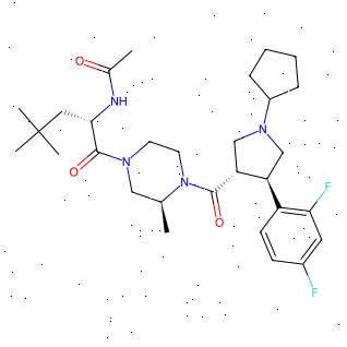 CC(=O)N[C@@H](CC(C)(C)C)C(=O)N1CCN(C(=O)[C@@H]2CN(C3CCCC3)C[C@H]2c2ccc(F)cc2F)[C@@H](C)C1